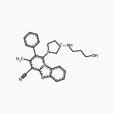 Cc1c(-c2ccccc2)c(N2CC[C@H](NCCCO)C2)n2c(nc3ccccc32)c1C#N